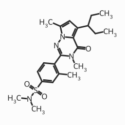 CCC(CC)c1cc(C)n2nc(-c3ccc(S(=O)(=O)N(C)C)cc3C)n(C)c(=O)c12